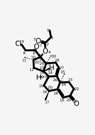 CCC(=O)O[C@]1(C(=O)CCl)[C@@H](C)C[C@H]2[C@@H]3C[C@H](C)C4=CC(=O)CC[C@]4(C)C3=CC[C@@]21C